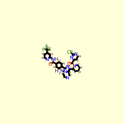 N[N+]12C=CN=CC1=C(C1CCCCN1C(=O)c1ccnc(Cl)n1)N=C2c1ccc(C(=O)Nc2cc(C(F)(F)F)ccn2)cc1